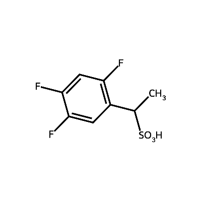 CC(c1cc(F)c(F)cc1F)S(=O)(=O)O